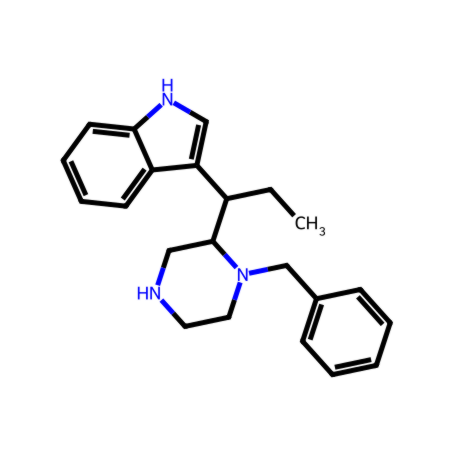 CCC(c1c[nH]c2ccccc12)C1CNCCN1Cc1ccccc1